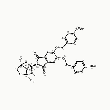 COc1ccc(COc2cc3c(cc2OCc2ccc(OC)cc2)C(=O)N([C@H]2C[C@H]4CC[C@@H](C2)N4C)C3=O)cc1